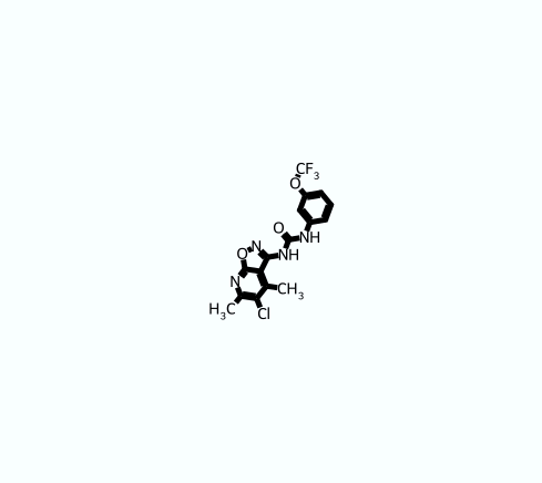 Cc1nc2onc(NC(=O)Nc3cccc(OC(F)(F)F)c3)c2c(C)c1Cl